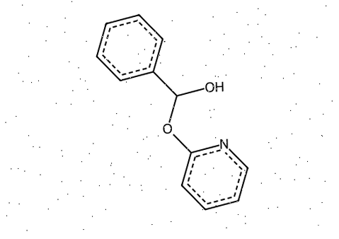 OC(Oc1ccccn1)c1ccccc1